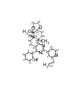 C=Cc1cc(-c2nc(-c3ccccc3F)c3c(n2)[C@]2(C)CCC4(OCCO4)[C@H](C)[C@H]2CC3)ccn1